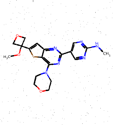 CNc1ncc(-c2nc(N3CCOCC3)c3sc(C4(OC)COC4)cc3n2)cn1